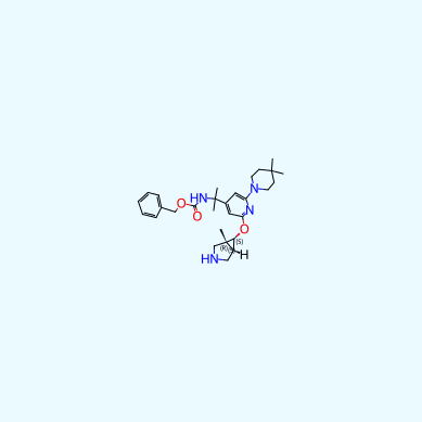 CC1(C)CCN(c2cc(C(C)(C)NC(=O)OCc3ccccc3)cc(O[C@H]3[C@@H]4CNC[C@@]43C)n2)CC1